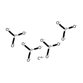 [C+4].[O-][I+2]([O-])[O-].[O-][I+2]([O-])[O-].[O-][I+2]([O-])[O-].[O-][I+2]([O-])[O-]